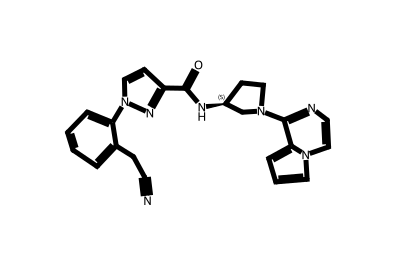 N#CCc1ccccc1-n1ccc(C(=O)N[C@H]2CCN(c3nccn4cccc34)C2)n1